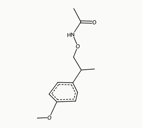 COc1ccc(C(C)CONC(C)=O)cc1